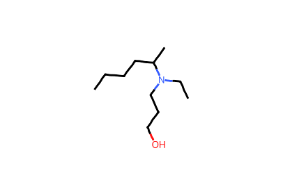 CCCCC(C)N(CC)CCCO